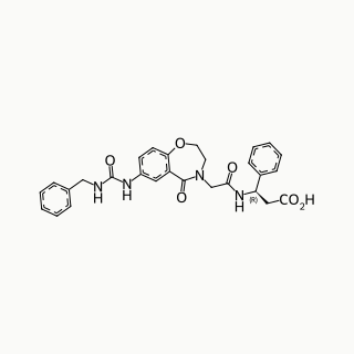 O=C(O)C[C@@H](NC(=O)CN1CCOc2ccc(NC(=O)NCc3ccccc3)cc2C1=O)c1ccccc1